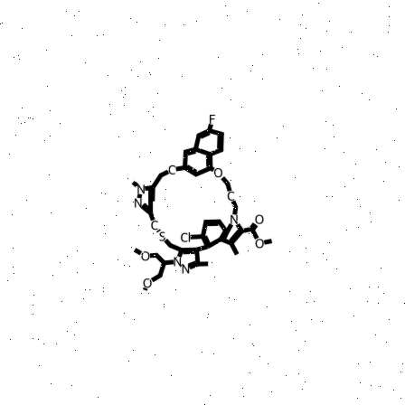 COCC(COC)n1nc(C)c2c1CSCc1cc(n(C)n1)CCc1cc(c3ccc(F)cc3c1)OCCCn1c(C(=O)OC)c(C)c3c-2c(Cl)ccc31